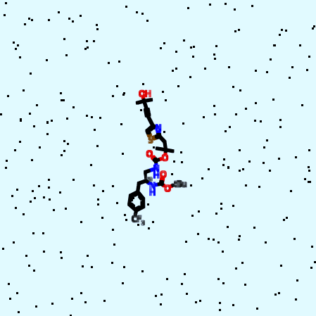 CC(C)(O)C#Cc1csc(CC(C)(C)OC(=O)NC[C@H](Cc2ccc(C(F)(F)F)cc2)NC(=O)OC(C)(C)C)n1